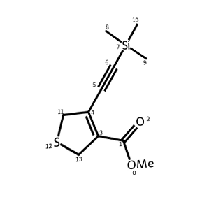 COC(=O)C1=C(C#C[Si](C)(C)C)CSC1